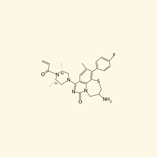 C=CC(=O)N1[C@H](C)CN(c2nc(=O)n3c4c(c(-c5ccc(F)cc5)c(C)cc24)SCC(N)C3)C[C@@H]1C